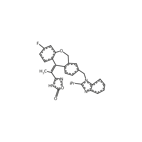 CC(=C1c2ccc(Cn3c(C(C)C)nc4ccccc43)cc2COc2cc(F)ccc21)c1noc(=O)[nH]1